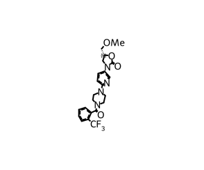 COC[C@H]1CN(c2ccc(N3CCN(C(=O)c4ccccc4C(F)(F)F)CC3)nc2)C(=O)O1